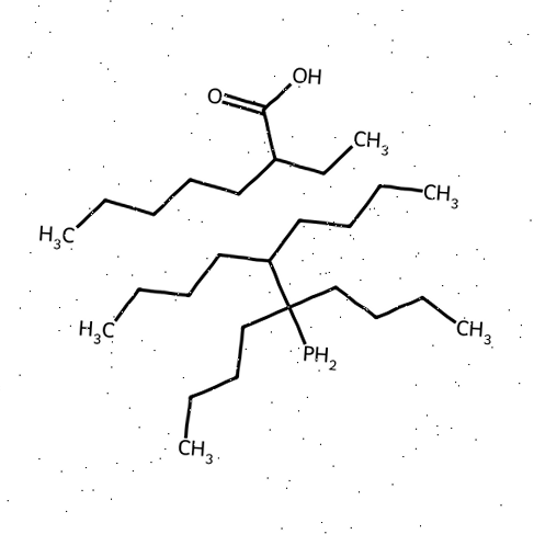 CCCCC(CCCC)C(P)(CCCC)CCCC.CCCCCC(CC)C(=O)O